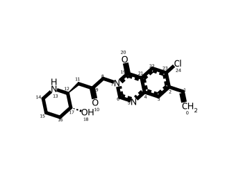 C=Cc1cc2ncn(CC(=O)C[C@@H]3NCCC[C@H]3O)c(=O)c2cc1Cl